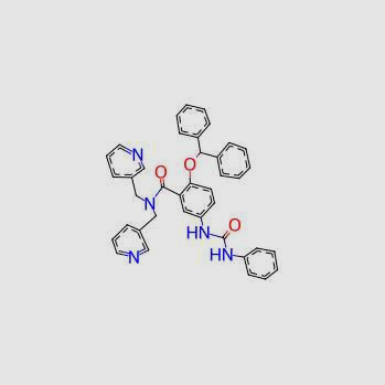 O=C(Nc1ccccc1)Nc1ccc(OC(c2ccccc2)c2ccccc2)c(C(=O)N(Cc2cccnc2)Cc2cccnc2)c1